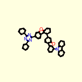 c1ccc(-c2nc(-c3ccccc3)nc(-c3ccc4c(c3)oc3cccc(-c5ccc6c(c5)oc5c(-n7c8ccccc8c8ccccc87)cccc56)c34)n2)cc1